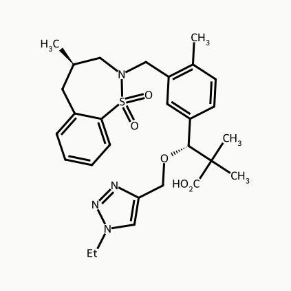 CCn1cc(CO[C@H](c2ccc(C)c(CN3C[C@H](C)Cc4ccccc4S3(=O)=O)c2)C(C)(C)C(=O)O)nn1